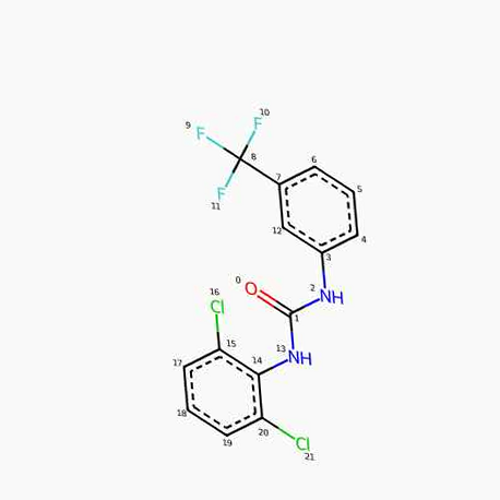 O=C(Nc1cccc(C(F)(F)F)c1)Nc1c(Cl)cccc1Cl